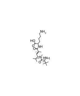 C/C(=C\[C@H](C(C)C)N(C)C(=O)[C@@H](NI)C(C)(C)C)C(=O)NC(CCCCN)C(=O)O